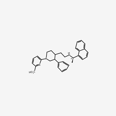 C[C@@H](NCCC1CCN(c2cccc(C(=O)O)n2)CC1c1ccccc1)c1cccc2ccccc12